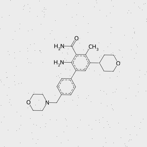 Cc1c(C2CCOCC2)cc(-c2ccc(CN3CCOCC3)cc2)c(N)c1C(N)=O